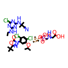 CC(C)Oc1cc(-n2nc(C(C)(C)C)oc2=O)c(Cl)cc1Cl.CCNc1nc(Cl)nc(NC(C)(C)C#N)n1.C[S+](C)C.O=C(O)CNCP(=O)([O-])O